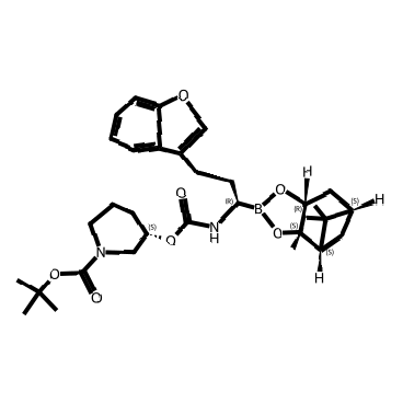 CC(C)(C)OC(=O)N1CCC[C@H](OC(=O)N[C@@H](CCc2coc3ccccc23)B2O[C@@H]3C[C@@H]4C[C@@H](C4(C)C)[C@]3(C)O2)C1